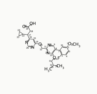 COc1ccc(F)c(-c2cnc(COc3cc(C(CC(=O)O)C4CC4)ncn3)nc2OCC(C)C)c1